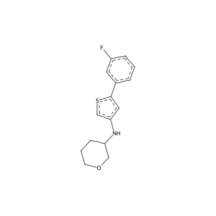 Fc1cccc(-c2cc(NC3CCCOC3)cs2)c1